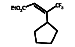 CCOC(=O)/C=C(\C1CCCC1)C(F)(F)F